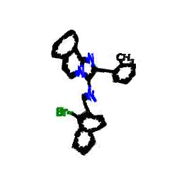 Cc1ccccc1-c1nc2c3ccccc3ccn2c1N=Cc1ccc2ccccc2c1Br